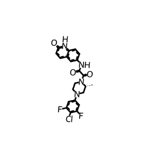 C[C@@H]1CN(c2cc(F)c(Cl)c(F)c2)CCN1C(=O)C(=O)Nc1ccc2[nH]c(=O)ccc2c1